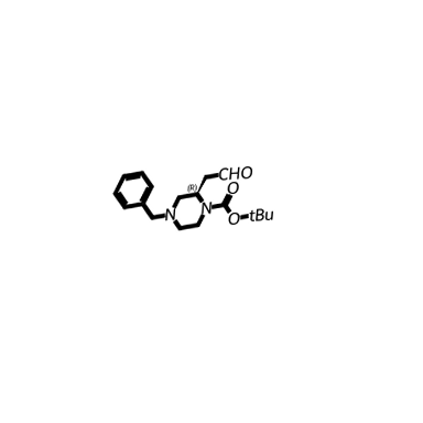 CC(C)(C)OC(=O)N1CCN(Cc2ccccc2)C[C@H]1CC=O